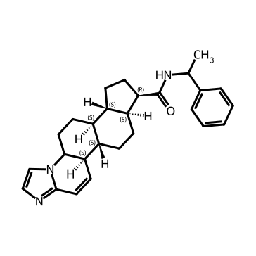 CC(NC(=O)[C@@H]1CC[C@H]2[C@@H]3CCC4[C@H](C=Cc5nccn54)[C@H]3CC[C@@H]21)c1ccccc1